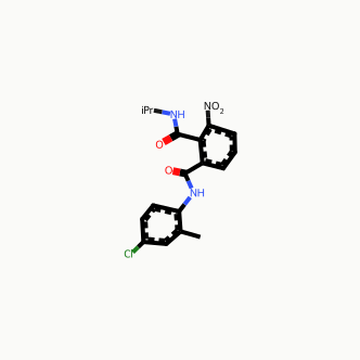 Cc1cc(Cl)ccc1NC(=O)c1cccc([N+](=O)[O-])c1C(=O)NC(C)C